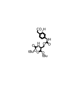 CC(C)(C)OC(=O)NC(COC(=O)Nc1ccc(CC(=O)O)cc1)C(=O)OC(C)(C)C